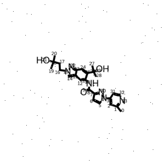 Cc1cc(-n2ccc(C(=O)Nc3cc4cn(CCC(C)(C)O)nc4cc3C(C)(C)O)n2)ccn1